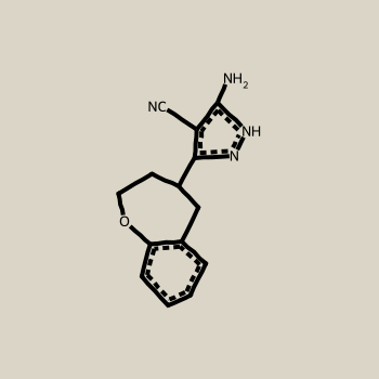 N#Cc1c(C2CCOc3ccccc3C2)n[nH]c1N